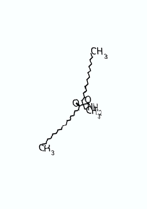 CCCCCCCCCCCCCCCCCC(=O)C(CC)(CCCCCCCCCCCCCCCC)C(N)=O